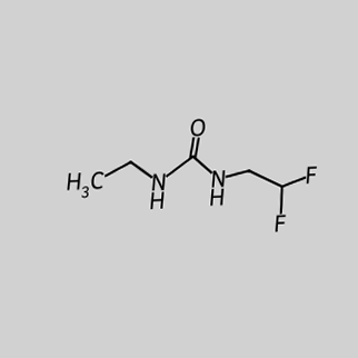 CCNC(=O)NCC(F)F